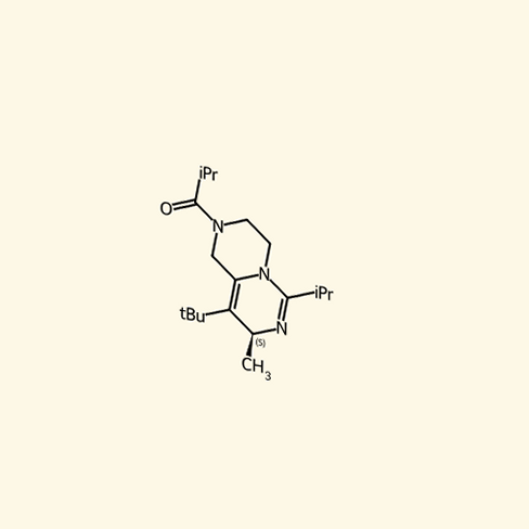 CC(C)C(=O)N1CCN2C(C(C)C)=N[C@@H](C)C(C(C)(C)C)=C2C1